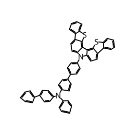 c1ccc(-c2ccc(N(c3ccccc3)c3ccc(-c4ccc(-n5c6ccc7c8ccccc8sc7c6c6c7sc8ccccc8c7ccc65)cc4)cc3)cc2)cc1